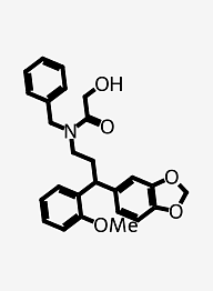 COc1ccccc1C(CCN(Cc1ccccc1)C(=O)CO)c1ccc2c(c1)OCO2